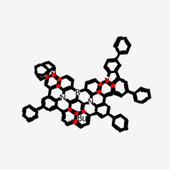 CC(C)(C)c1cc2c3c(c1)N(c1c(-c4ccccc4)cc(-c4ccccc4)cc1-c1ccccc1)c1cc(-n4c5ccc(-c6ccccc6)cc5c5cc(-c6ccccc6)ccc54)ccc1B3c1ccc(N3C4CC5CC(C4)CC3C5)cc1N2c1c(-c2ccccc2)cc(-c2ccccc2)cc1-c1ccccc1